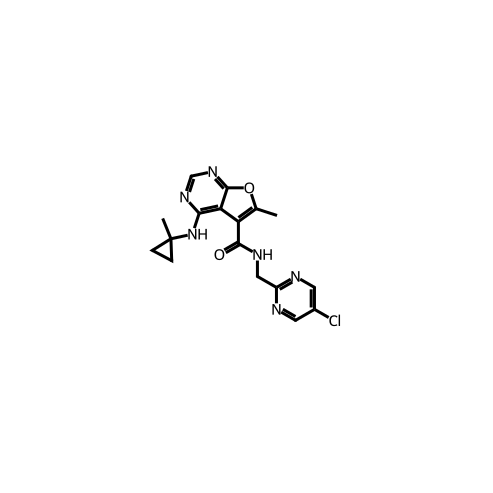 Cc1oc2ncnc(NC3(C)CC3)c2c1C(=O)NCc1ncc(Cl)cn1